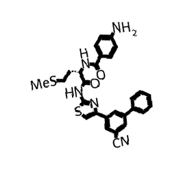 CSCC[C@H](NC(=O)c1ccc(N)cc1)C(=O)Nc1nc(-c2cc(C#N)cc(-c3ccccc3)c2)cs1